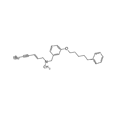 CN(CC=CC#CC(C)(C)C)Cc1cccc(OCCCCCc2ccccc2)c1